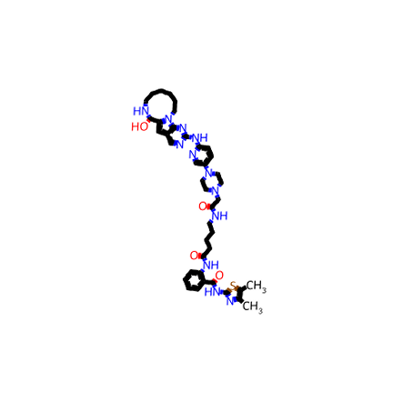 Cc1nc(NC(=O)c2ccccc2NC(=O)CCCCNC(=O)CN2CCN(c3ccc(Nc4ncc5cc6n(c5n4)CCCCCCNC6O)nc3)CC2)sc1C